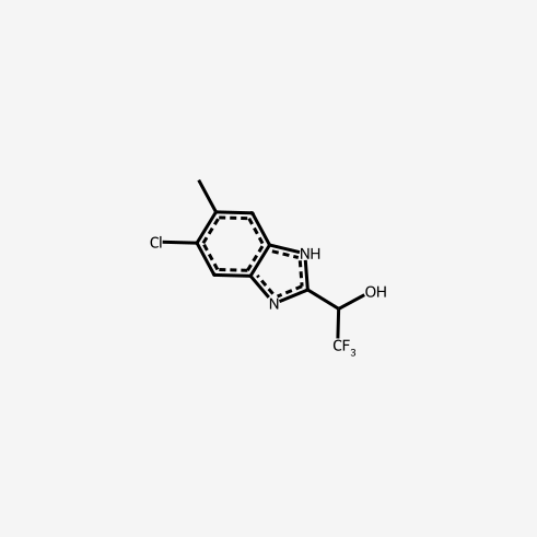 Cc1cc2[nH]c(C(O)C(F)(F)F)nc2cc1Cl